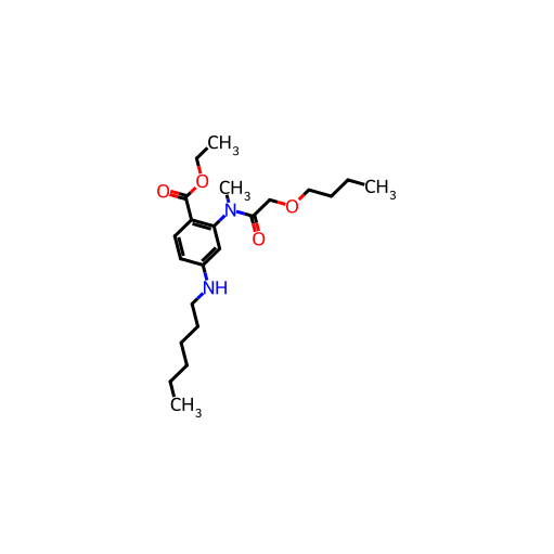 CCCCCCNc1ccc(C(=O)OCC)c(N(C)C(=O)COCCCC)c1